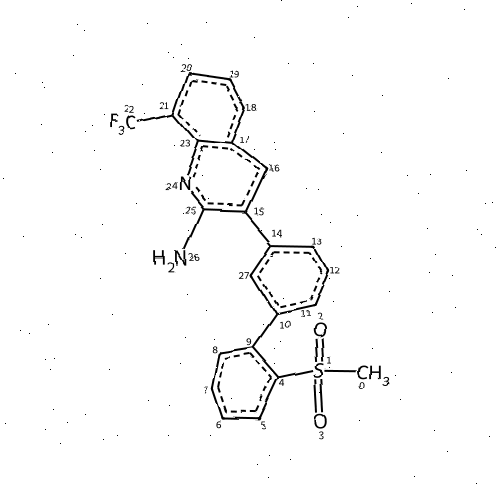 CS(=O)(=O)c1ccccc1-c1cccc(-c2cc3cccc(C(F)(F)F)c3nc2N)c1